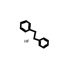 F.c1ccc(CCc2ccccc2)cc1